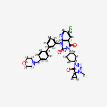 CN(C)C1(C(=O)N[C@H]2CC[C@@H](n3c(=O)c4cc(F)cnc4n(-c4cccc(-c5ccc(CN6CCOCC6)cc5)c4)c3=O)CC2)CC1